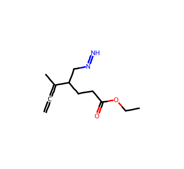 C=C=C(C)C(CCC(=O)OCC)CN=N